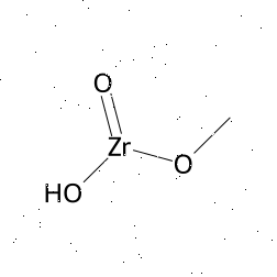 C[O][Zr](=[O])[OH]